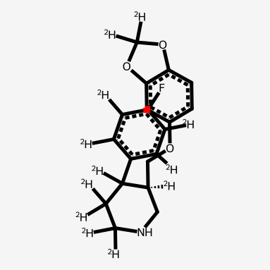 [2H]c1c([2H])c(C2([2H])C([2H])([2H])C([2H])([2H])NC[C@]2([2H])COc2ccc3c(c2)OC([2H])([2H])O3)c([2H])c([2H])c1F